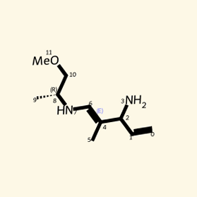 C=CC(N)/C(C)=C/N[C@H](C)COC